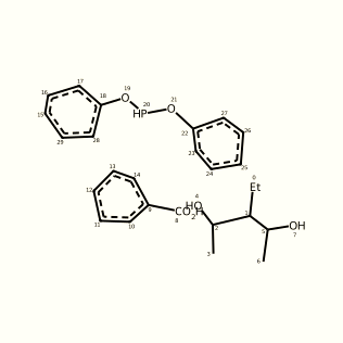 CCC(C(C)O)C(C)O.O=C(O)c1ccccc1.c1ccc(OPOc2ccccc2)cc1